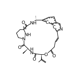 C=C(C)[C@@H]1OC(=O)C/C=C/c2cc3cc(ccc3cn2)[C@@H](C)NC(=O)[C@@H]2CCCN(N2)C(=O)[C@H](C)NC1=O